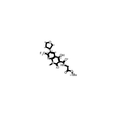 Cn1c(=O)c(C(=O)NCC(=O)OC(C)(C)C)c(O)c2cc([C@H]3CCOC3)c(C(F)(F)F)nc21